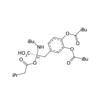 CCC(C)N[C@@](Cc1ccc(OC(=O)C(C)CC)c(OC(=O)C(C)CC)c1)(OC(=O)CC(C)C)C(=O)O